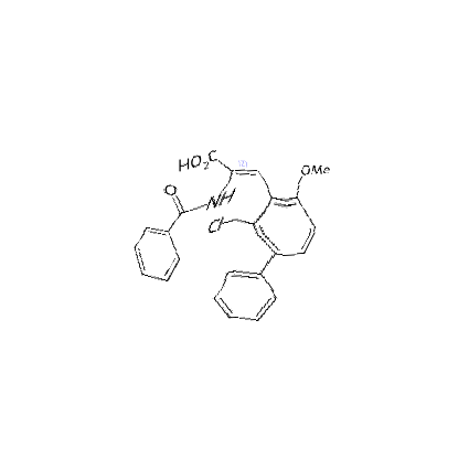 COc1ccc(-c2ccccc2)c(Cl)c1/C=C(\NC(=O)c1ccccc1)C(=O)O